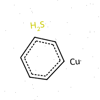 S.[Cu].c1ccccc1